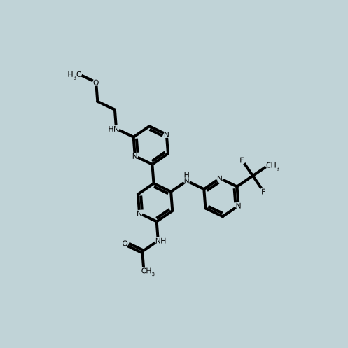 COCCNc1cncc(-c2cnc(NC(C)=O)cc2Nc2ccnc(C(C)(F)F)n2)n1